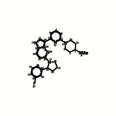 CNC1CCN(c2cccc(-c3cnc4ccc(N5CCCC5c5cccc(F)c5)nn34)n2)CC1